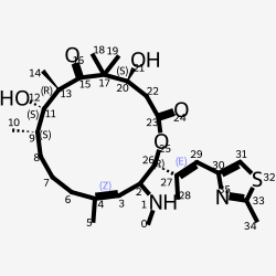 CNC1/C=C(/C)CCC[C@H](C)[C@H](O)[C@@H](C)C(=O)C(C)(C)[C@@H](O)CC(=O)O[C@@H]1/C(C)=C/c1csc(C)n1